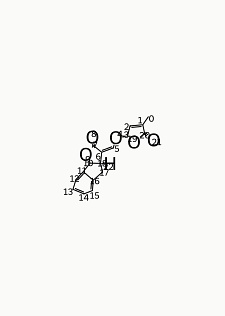 CC1=C[C@H](OC=C2C(=O)OC3c4ccccc4C[C@@H]23)OC1=O